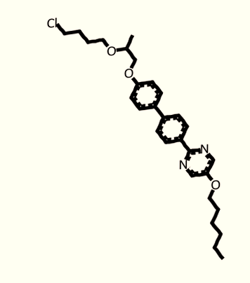 CCCCCCOc1cnc(-c2ccc(-c3ccc(OCC(C)OCCCCCl)cc3)cc2)nc1